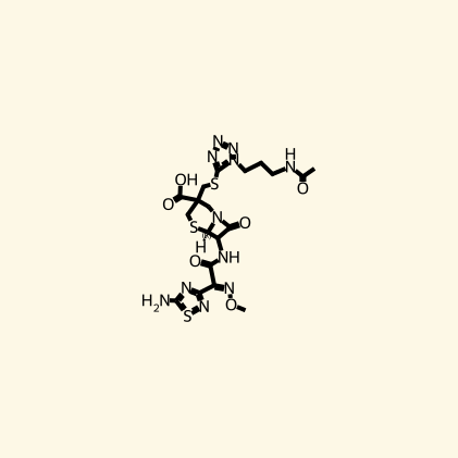 CON=C(C(=O)NC1C(=O)N2CC(CSc3nnnn3CCCNC(C)=O)(C(=O)O)CS[C@H]12)c1nsc(N)n1